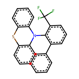 FC(F)(F)c1cccc(-c2ccccc2)c1N1c2ccccc2Sc2ccccc21